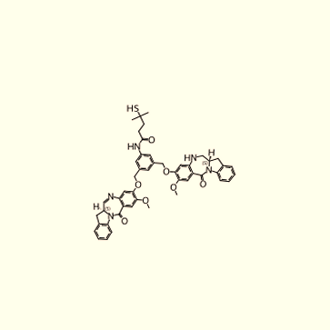 COc1cc2c(cc1OCc1cc(COc3cc4c(cc3OC)C(=O)N3c5ccccc5C[C@H]3CN4)cc(NC(=O)CCC(C)(C)S)c1)N=C[C@@H]1Cc3ccccc3N1C2=O